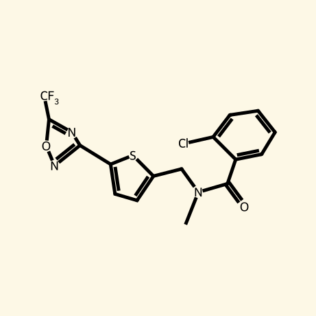 CN(Cc1ccc(-c2noc(C(F)(F)F)n2)s1)C(=O)c1ccccc1Cl